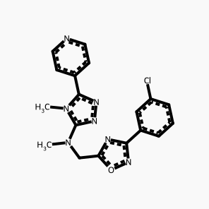 CN(Cc1nc(-c2cccc(Cl)c2)no1)c1nnc(-c2ccncc2)n1C